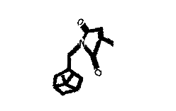 CC1=CC(=O)N(CC2CC3CC(C2)C3(C)C)C1=O